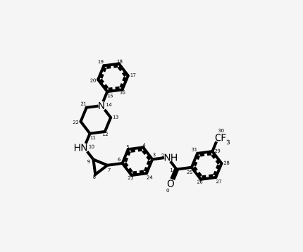 O=C(Nc1ccc(C2CC2NC2CCN(c3ccccc3)CC2)cc1)c1cccc(C(F)(F)F)c1